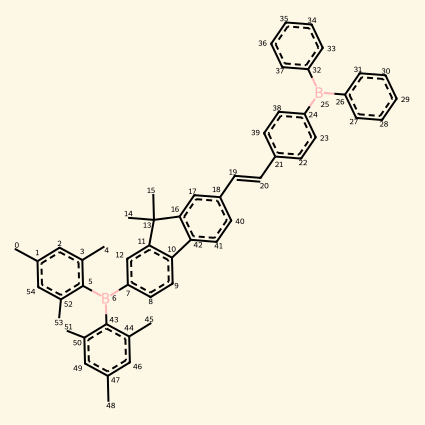 Cc1cc(C)c(B(c2ccc3c(c2)C(C)(C)c2cc(/C=C/c4ccc(B(c5ccccc5)c5ccccc5)cc4)ccc2-3)c2c(C)cc(C)cc2C)c(C)c1